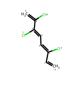 C=CC(Cl)=CC=C(Cl)C(=C)Cl